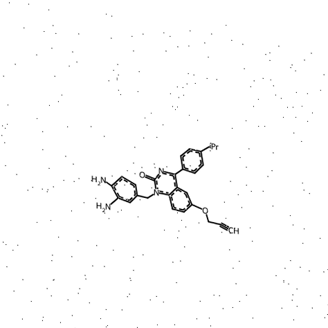 C#CCOc1ccc2c(c1)c(-c1ccc(C(C)C)cc1)nc(=O)n2Cc1ccc(N)c(N)c1